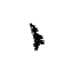 CCCC12CCC(c3ccc(-c4ccc(OC(=O)CC)c(C#N)c4C#N)c(F)c3)(CC1)CC2